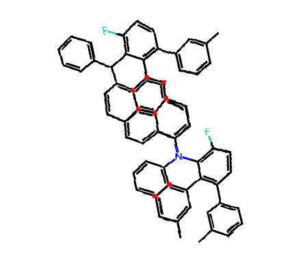 Cc1cccc(-c2ccc(F)c(C(c3ccccc3)c3ccc4ccc5c(N(c6ccccc6)c6c(F)ccc(-c7cccc(C)c7)c6-c6cccc(C)c6)ccc6ccc3c4c65)c2-c2cccc(C)c2)c1